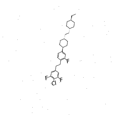 CC[C@H]1CC[C@H](CC[C@H]2CC[C@H](c3ccc(CCc4cc(F)c(Cl)c(F)c4)c(F)c3)CC2)CC1